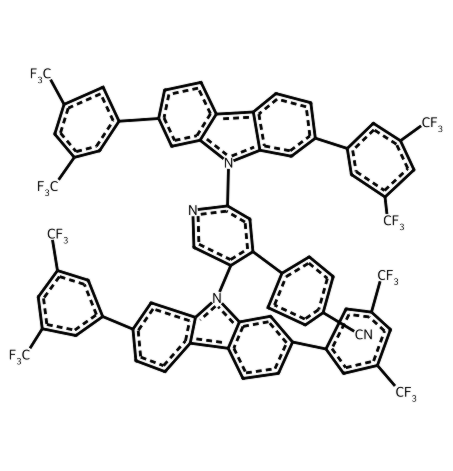 N#Cc1ccc(-c2cc(-n3c4cc(-c5cc(C(F)(F)F)cc(C(F)(F)F)c5)ccc4c4ccc(-c5cc(C(F)(F)F)cc(C(F)(F)F)c5)cc43)ncc2-n2c3cc(-c4cc(C(F)(F)F)cc(C(F)(F)F)c4)ccc3c3ccc(-c4cc(C(F)(F)F)cc(C(F)(F)F)c4)cc32)cc1